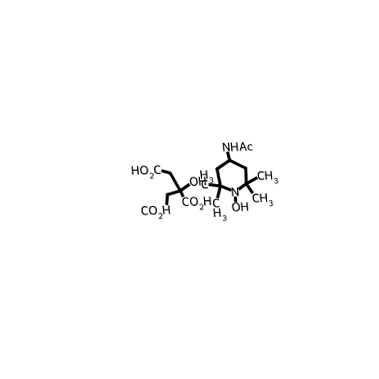 CC(=O)NC1CC(C)(C)N(O)C(C)(C)C1.O=C(O)CC(O)(CC(=O)O)C(=O)O